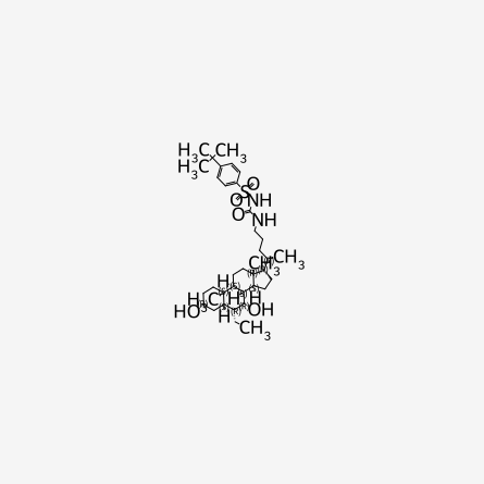 CC[C@H]1[C@@H](O)[C@@H]2[C@H](CC[C@]3(C)[C@@H]([C@H](C)CCCNC(=O)NS(=O)(=O)c4ccc(C(C)(C)C)cc4)CC[C@@H]23)[C@@]2(C)CC[C@@H](O)C[C@@H]12